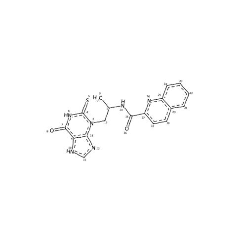 CC(Cn1c(=S)[nH]c(=O)c2[nH]cnc21)NC(=O)c1ccc2ccccc2n1